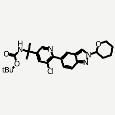 CC(C)(C)OC(=O)NC(C)(C)c1cnc(-c2ccc3nn(C4CCCCO4)cc3c2)c(Cl)c1